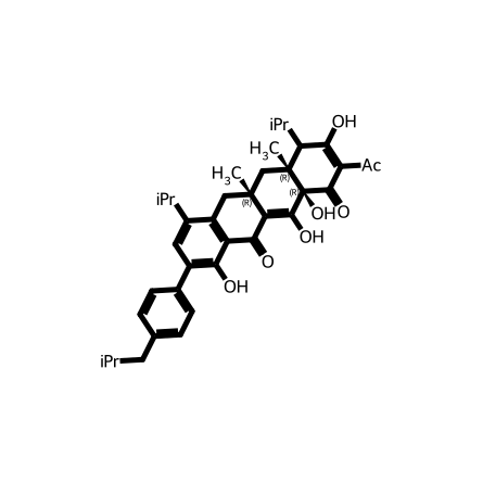 CC(=O)C1=C(O)C(C(C)C)[C@@]2(C)C[C@@]3(C)Cc4c(C(C)C)cc(-c5ccc(CC(C)C)cc5)c(O)c4C(=O)C3=C(O)[C@@]2(O)C1=O